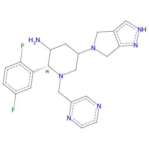 NC1CC(N2Cc3c[nH]nc3C2)CN(Cc2cnccn2)[C@@H]1c1cc(F)ccc1F